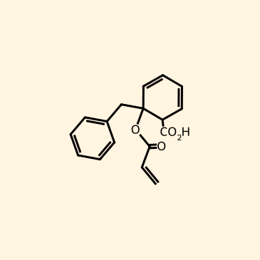 C=CC(=O)OC1(Cc2ccccc2)C=CC=CC1C(=O)O